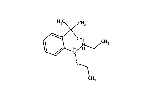 CCN[SiH](NCC)c1ccccc1C(C)(C)C